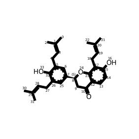 CC(C)=CCc1cc([C@@H]2CC(=O)c3ccc(O)c(CC=C(C)C)c3O2)cc(CC=C(C)C)c1O